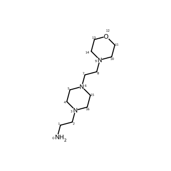 NCCN1CCN(CCN2CCOCC2)CC1